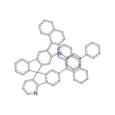 c1ccc(-c2c3ccccc3c(-c3ccc4c(c3)C3(c5ccccc5-c5cc6c7c8ccccc8ccc7n(-c7ccccc7)c6cc53)c3cccnc3-4)c3ccccc23)cc1